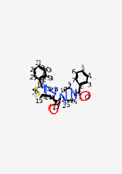 O=C(c1ccccc1)N1CCN(C(=O)c2csc(-c3ccccc3)n2)CC1